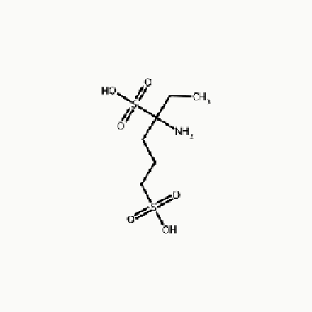 CCC(N)(CCCS(=O)(=O)O)S(=O)(=O)O